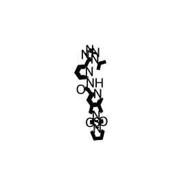 CC(C)n1nnnc1-c1cccc(NC(=O)c2cc3c(cn2)CN(S(=O)(=O)N2CCCC2)C3)n1